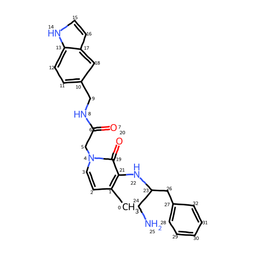 Cc1ccn(CC(=O)NCc2ccc3[nH]ccc3c2)c(=O)c1NC(CN)Cc1ccccc1